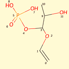 C=COC(OP(=O)(O)O)C(C)O